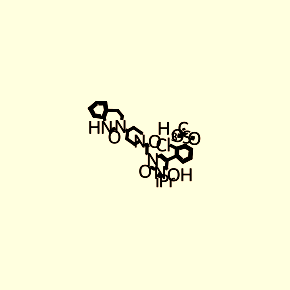 CC(C)N1C(=O)N(CC(=O)N2CCC(N3CCc4ccccc4NC3=O)CC2)C=C(c2cccc(S(C)(=O)=O)c2Cl)C1O